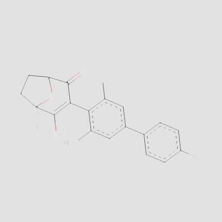 Cc1cc(-c2ccc(F)cc2)cc(C)c1C1=C(O)[C@@]2(C)CC[C@H](O2)C1=O